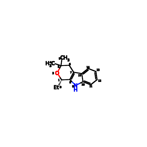 CC[C@@H]1OC(C)(C)Cc2c1[nH]c1ccccc21